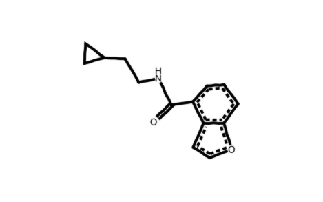 O=C(NCCC1CC1)c1cccc2occc12